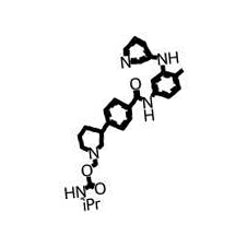 Cc1ccc(NC(=O)c2ccc(C3CCCN(COC(=O)NC(C)C)C3)cc2)cc1Nc1cccnc1